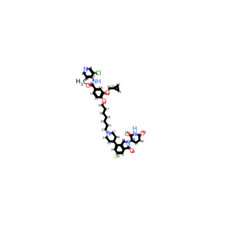 Cc1cncc(Cl)c1NC(=O)c1ccc(OCCCCCCCN2CCC(c3cc(F)cc4c3CN(C3CCC(=O)NC3=O)C4=O)CC2)c(OCC2CC2)c1